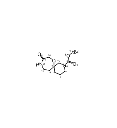 CC(C)(C)OC(=O)N1CCCC2(CCNC(=O)CO2)C1